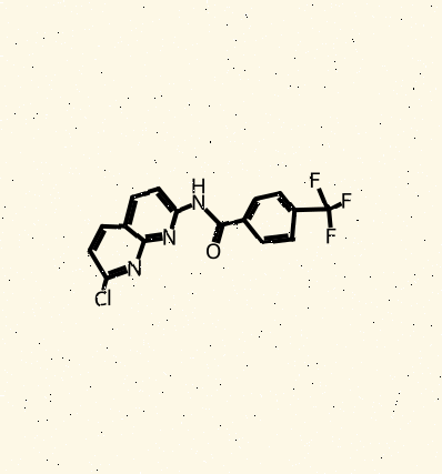 O=C(Nc1ccc2ccc(Cl)nc2n1)c1ccc(C(F)(F)F)cc1